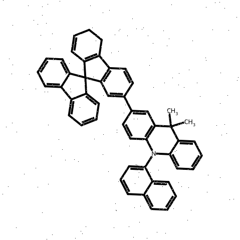 CC1(C)c2ccccc2N(c2cccc3ccccc23)c2ccc(-c3ccc4c(c3)C3(C5=C4CCC=C5)c4ccccc4-c4ccccc43)cc21